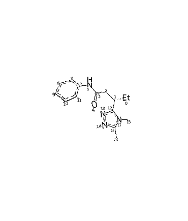 CC[C@@H](CC(=O)Nc1ccccc1)c1nnc(C)n1C